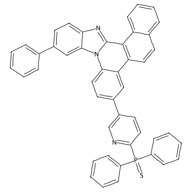 S=P(c1ccccc1)(c1ccccc1)c1ccc(-c2ccc3c(c2)c2ccc4ccccc4c2c2nc4ccc(-c5ccccc5)cc4n32)cn1